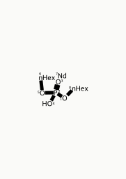 CCCCCCOP(=O)(O)OCCCCCC.[Nd]